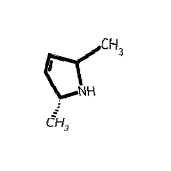 CC1C=C[C@@H](C)N1